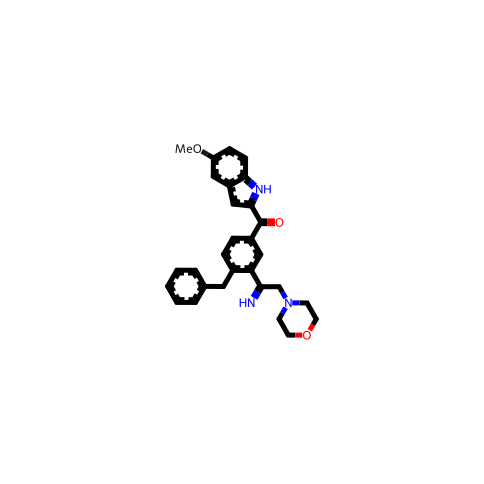 COc1ccc2[nH]c(C(=O)c3ccc(Cc4ccccc4)c(C(=N)CN4CCOCC4)c3)cc2c1